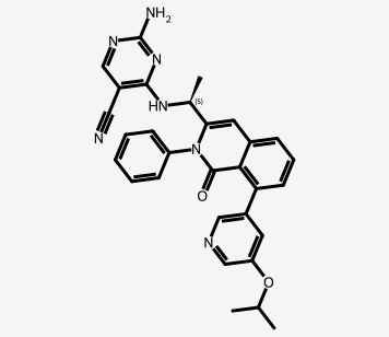 CC(C)Oc1cncc(-c2cccc3cc([C@H](C)Nc4nc(N)ncc4C#N)n(-c4ccccc4)c(=O)c23)c1